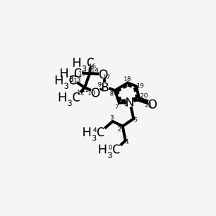 CCC(CC)Cn1cc(B2OC(C)(C)C(C)(C)O2)ccc1=O